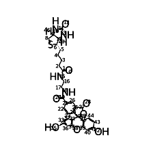 O=C(CCCC[C@@H]1SC[C@@H]2NC(=O)N[C@@H]21)NCCNC(=O)c1ccc2c(c1)C(=O)OC21c2ccc(O)cc2Oc2cc(O)ccc21